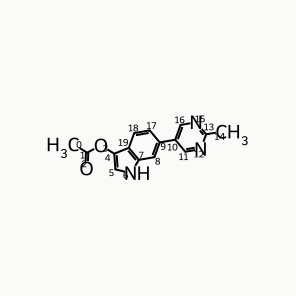 CC(=O)Oc1c[nH]c2cc(-c3cnc(C)nc3)ccc12